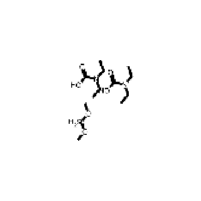 CCN(CC)C(=O)O.CCN(CC)C(=O)O.CO[SiH2]OC